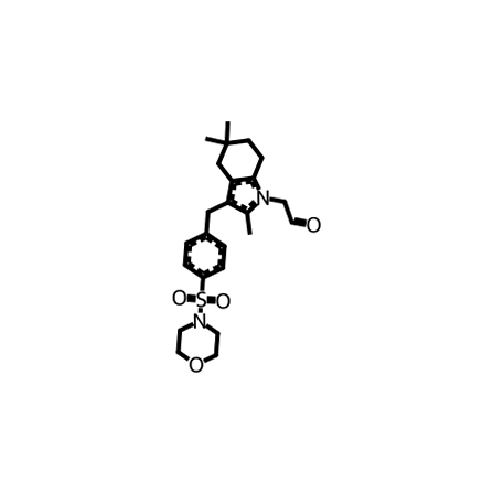 Cc1c(Cc2ccc(S(=O)(=O)N3CCOCC3)cc2)c2c(n1CC=O)CCC(C)(C)C2